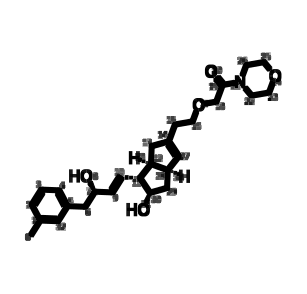 Cc1cccc(C[C@@H](O)/C=C/[C@@H]2[C@H]3CC(CCOCC(=O)N4CCOCC4)=C[C@H]3C[C@H]2O)c1